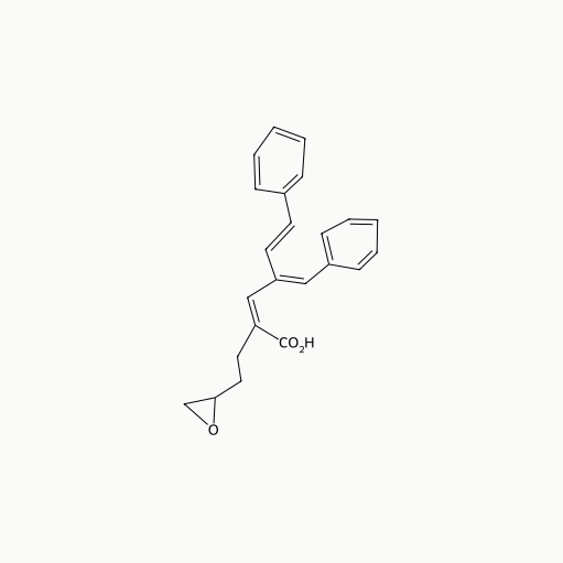 O=C(O)C(=CC(C=Cc1ccccc1)=Cc1ccccc1)CCC1CO1